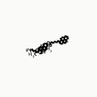 CC(C)CCC[C@@H](C)[C@H]1CC[C@H]2[C@@H]3CC=C4C[C@@H](OC(=O)CCCCCc5ccc6ccc7cccc8ccc5c6c78)CC[C@]4(C)[C@H]3CC[C@]12C